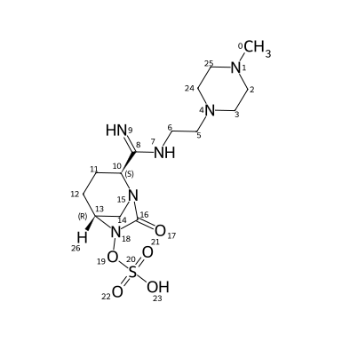 CN1CCN(CCNC(=N)[C@@H]2CC[C@@H]3CN2C(=O)N3OS(=O)(=O)O)CC1